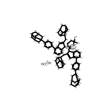 Cl.Cl.[CH3][Zr](=[SiH2])([CH2]CC(F)(F)F)([CH]1C(CC2C3CC4CC(C3)CC2C4)=Cc2c(-c3ccc(C45CC6CC(CC(C6)C4)C5)cc3)cccc21)[CH]1C(CC2C3CC4CC(C3)CC2C4)=Cc2c(-c3ccc(C45CC6CC(CC(C6)C4)C5)cc3)cccc21